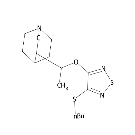 CCCCSc1nsnc1OC(C)C1CN2CCC1CC2